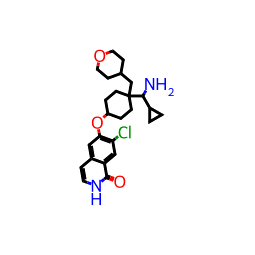 NC(C1CC1)C1(CC2CCOCC2)CCC(Oc2cc3cc[nH]c(=O)c3cc2Cl)CC1